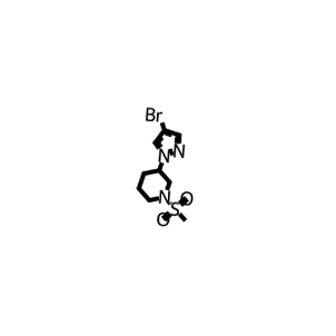 CS(=O)(=O)N1CCCC(n2cc(Br)cn2)C1